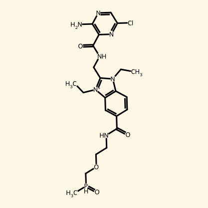 CCn1c(CNC(=O)c2nc(Cl)cnc2N)[n+](CC)c2cc(C(=O)NCCOC[PH](C)=O)ccc21